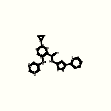 O=C(Nc1cc(-c2ccccn2)no1)c1nc(C2CC2)ccc1Nc1cncnc1